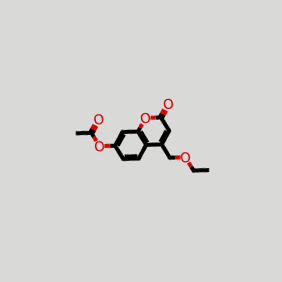 CCOCc1cc(=O)oc2cc(OC(C)=O)ccc12